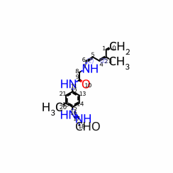 C=C/C(C)=C\C=C/NCC(=O)Nc1ccc(NNC=O)c(C)c1